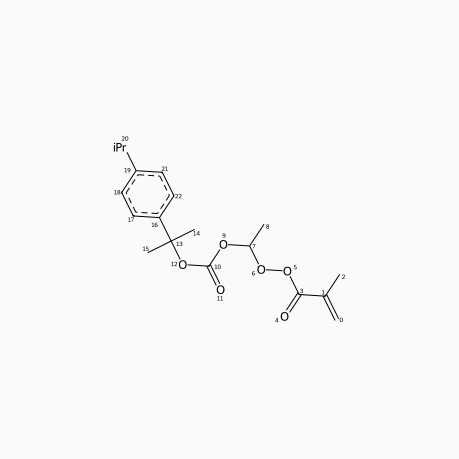 C=C(C)C(=O)OOC(C)OC(=O)OC(C)(C)c1ccc(C(C)C)cc1